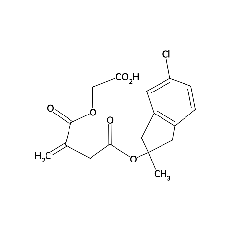 C=C(CC(=O)OC1(C)Cc2ccc(Cl)cc2C1)C(=O)OCC(=O)O